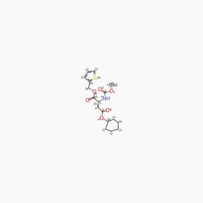 CC(C)(C)OC(=O)N[C@@H](CC(=O)OC1CCCCC1)C(=O)OCc1cccs1